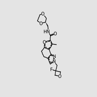 Cc1c(C(=O)NC[C@@H]2COCCO2)oc2c1-c1nn(CC3(F)COC3)cc1CC2